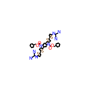 N#CC(C#N)=Nc1ccc(-c2cc3c(s2)c2cc4c(cc2n3C(=O)OCc2ccccc2)c2sc(-c3ccc(N=C(C#N)C#N)s3)cc2n4C(=O)OCc2ccccc2)s1